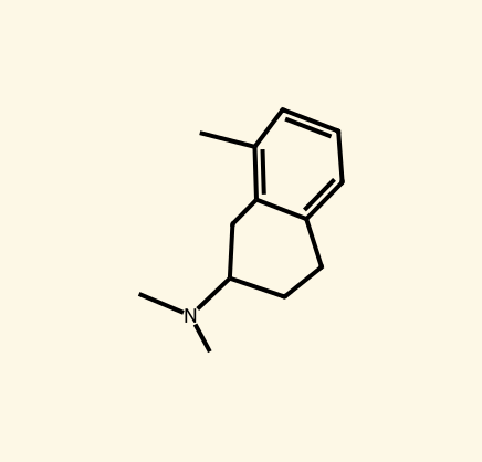 Cc1cccc2c1CC(N(C)C)CC2